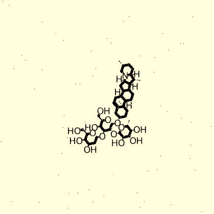 C[C@@H]1CC[C@H]2[C@H](C)[C@H]3C4CC[C@@H]5[C@@H](CC=C6C[C@@H](O[C@@H]7O[C@H](CO)[C@H](O)[C@H](O[C@H]8C[C@@H](O)[C@@H](O)[C@@H](CO)O8)[C@@H]7O[C@@H]7O[C@H](C)[C@H](O)[C@H](O)[C@@H]7O)CC[C@@]65C)C4C[C@H]3N2C1